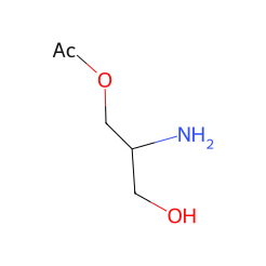 CC(=O)OCC(N)CO